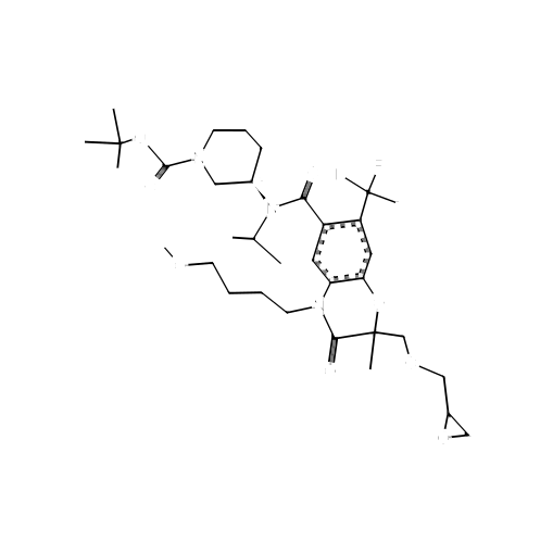 COCCCCN1C(=O)C(C)(COCC2CO2)Oc2cc(C(F)(F)F)c(C(=O)N(C(C)C)[C@@H]3CCCN(C(=O)OC(C)(C)C)C3)cc21